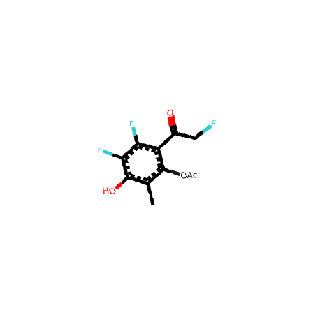 CC(=O)Oc1c(C)c(O)c(F)c(F)c1C(=O)CF